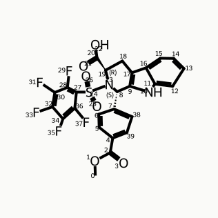 COC(=O)c1ccc([C@H]2c3[nH]c4ccccc4c3C[C@H](C(=O)O)N2S(=O)(=O)c2c(F)c(F)c(F)c(F)c2F)cc1